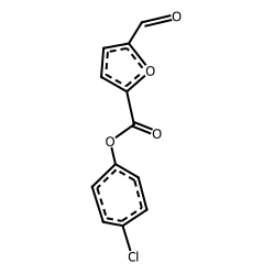 O=Cc1ccc(C(=O)Oc2ccc(Cl)cc2)o1